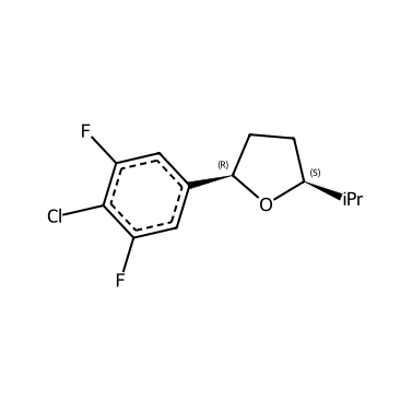 CC(C)[C@@H]1CC[C@H](c2cc(F)c(Cl)c(F)c2)O1